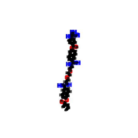 C=C(/C=C\C)C(=O)Oc1ccc2cc(C(=N)NCCOCCOCCNC(=N)c3ccc4cc(OC(=O)c5ccc(NC(=N)N)cc5)ccc4c3)ccc2c1